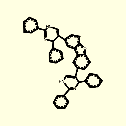 C1=C(c2ccc3oc4ccc(C5=CNC(c6ccccc6)=NC5c5ccccc5)cc4c3c2)C(c2ccccc2)N=C(c2ccccc2)N1